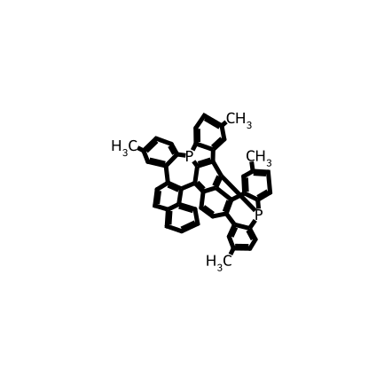 Cc1ccc2c(c1)c1ccc3c4c1c1cc(C)ccc1p2c4c1c2cc(C)ccc2p2c4ccc(C)cc4c4ccc5ccccc5c4c3c12